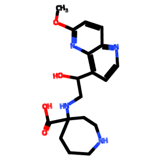 COc1ccc2nccc(C(O)CNC3(C(=O)O)CCCNCC3)c2n1